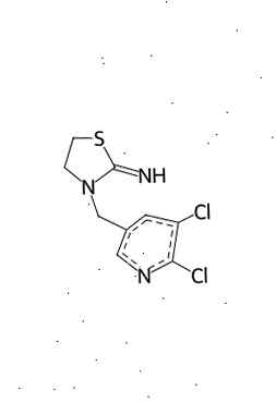 N=C1SCCN1Cc1cnc(Cl)c(Cl)c1